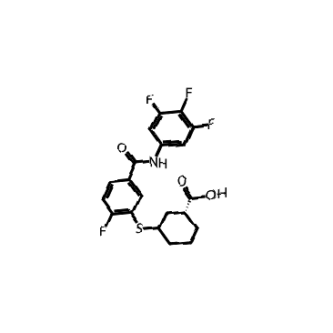 O=C(Nc1cc(F)c(F)c(F)c1)c1ccc(F)c(SC2CCC[C@@H](C(=O)O)C2)c1